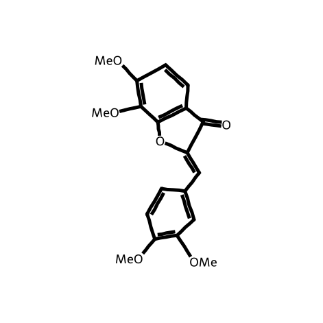 COc1ccc(C=C2Oc3c(ccc(OC)c3OC)C2=O)cc1OC